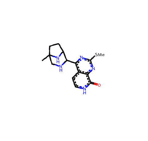 CSc1nc(C2NCC3(C)CCC2N3)c2cc[nH]c(=O)c2n1